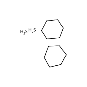 C1CCCCC1.C1CCCCC1.S.S